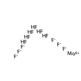 F.F.F.F.F.F.[F-].[F-].[F-].[F-].[F-].[F-].[Mo+6]